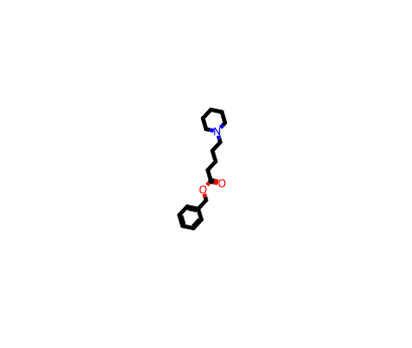 O=C(CCCCN1CCCCC1)OCc1ccccc1